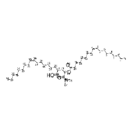 CCCCCCCC/C=C\CCCCCCCC(=O)OC(CC(CCCCCC/C=C\CCCCCCCC)C(=O)O)CN(C)C